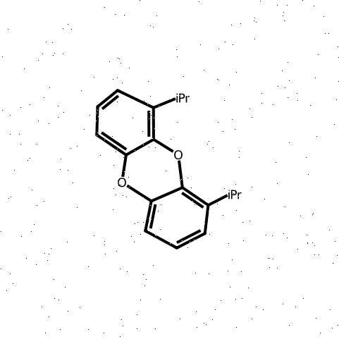 CC(C)c1cccc2c1Oc1c(cccc1C(C)C)O2